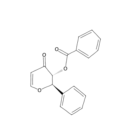 O=C(O[C@H]1C(=O)C=CO[C@@H]1c1ccccc1)c1ccccc1